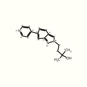 CC(C)(O)CCn1cc2ccc(-c3ccncc3)cc2n1